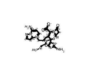 Nc1nc(C2(NC(=O)C=NO)S[C@H]3CC(=O)N3C(C(=O)[O-])=C2C=CC[n+]2ccc(N)n3nccc32)cs1